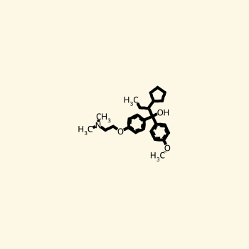 CCC(C1CCCC1)C(O)(c1ccc(OC)cc1)c1ccc(OCCN(C)C)cc1